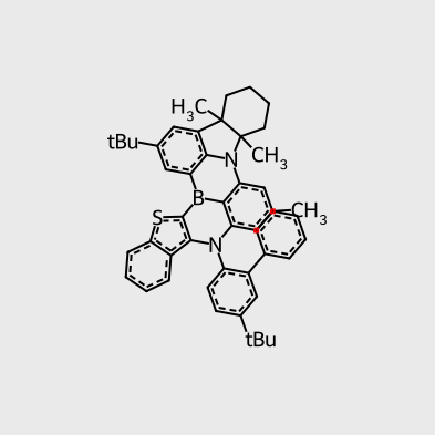 Cc1cc2c3c(c1)N1c4c(cc(C(C)(C)C)cc4C4(C)CCCCC14C)B3c1sc3ccccc3c1N2c1ccc(C(C)(C)C)cc1-c1ccccc1